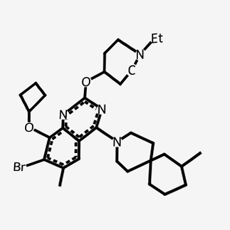 CCN1CCC(Oc2nc(N3CCC4(CCCC(C)C4)CC3)c3cc(C)c(Br)c(OC4CCC4)c3n2)CC1